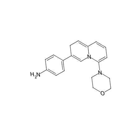 Nc1ccc(C2=CN3C(=CC2)C=CC=C3N2CCOCC2)cc1